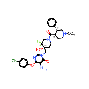 Nc1c(Oc2ccc(Cl)cc2)ncn(C[C@@]2(O)CCN(C(=O)[C@@H]3CCN(C(=O)O)C[C@H]3c3ccccc3)CC2(F)F)c1=O